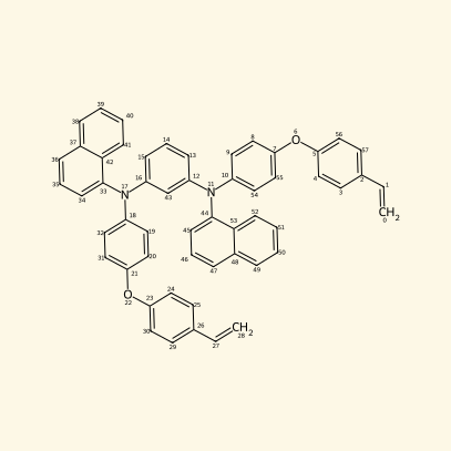 C=Cc1ccc(Oc2ccc(N(c3cccc(N(c4ccc(Oc5ccc(C=C)cc5)cc4)c4cccc5ccccc45)c3)c3cccc4ccccc34)cc2)cc1